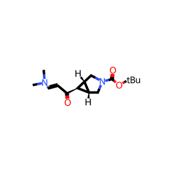 CN(C)/C=C/C(=O)[C@H]1[C@@H]2CN(C(=O)OC(C)(C)C)C[C@@H]21